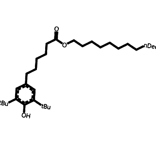 CCCCCCCCCCCCCCCCCCOC(=O)CCCCCc1cc(C(C)(C)C)c(O)c(C(C)(C)C)c1